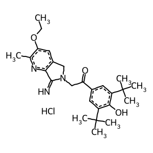 CCOc1cc2c(nc1C)C(=N)N(CC(=O)c1cc(C(C)(C)C)c(O)c(C(C)(C)C)c1)C2.Cl